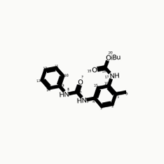 Cc1ccc(NC(=O)Nc2ccccc2)cc1NC(=O)OCC(C)C